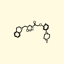 CN1CCN(c2cccc(OCC(=O)NC[C@@H](O)CN3CCc4ccccc4C3)c2)CC1